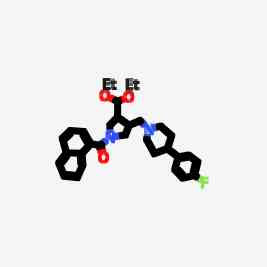 CCOC(OCC)C1CN(C(=O)c2cccc3ccccc23)CC1CN1CCC(c2ccc(F)cc2)CC1